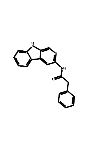 O=C(Cc1ccccc1)Nc1cc2c(cn1)[nH]c1ccccc12